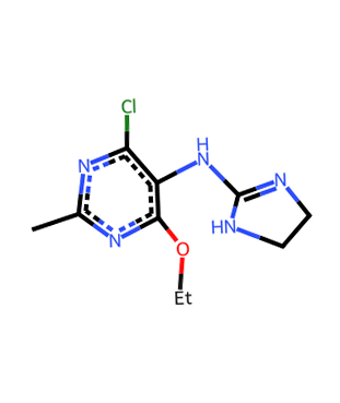 CCOc1nc(C)nc(Cl)c1NC1=NCCN1